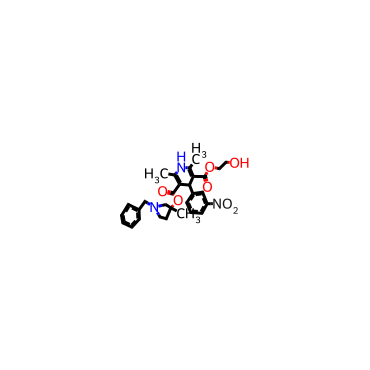 CC1=C(C(=O)OCCO)C(c2cccc([N+](=O)[O-])c2)C(C(=O)OC2(C)CCN(Cc3ccccc3)C2)=C(C)N1